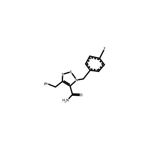 CC(C)CC1=C(C(N)=O)N(Cc2ccc(F)cc2)SS1